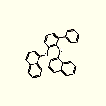 c1ccc(-c2cccc(Oc3cccc4ccccc34)c2Oc2cccc3ccccc23)cc1